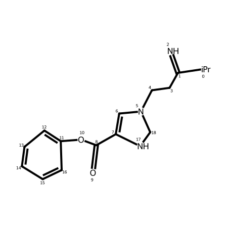 CC(C)C(=N)CCN1C=C(C(=O)Oc2ccccc2)NC1